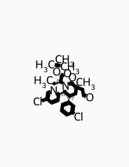 CC[C@@H](C(=O)OC(C)(C)C)N1C(=O)[C@@](C)(CC=O)C[C@H](c2cccc(Cl)c2)[C@H]1c1ccc(Cl)cn1